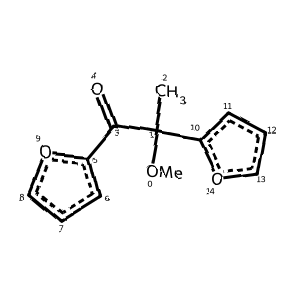 COC(C)(C(=O)c1ccco1)c1ccco1